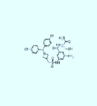 Cc1cc(NS(=O)(=O)CC2CN(C(c3ccc(Cl)cc3)c3ccc(Cl)cc3)C2)cc(C(=O)N[C@@H](CO)C(N)=O)c1